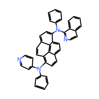 c1ccc(N(c2ccncc2)c2ccc3ccc4c(N(c5ccccc5)c5nccc6ccccc56)ccc5ccc2c3c54)cc1